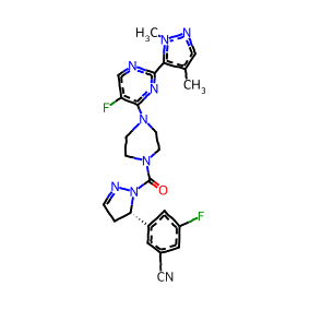 Cc1cnn(C)c1-c1ncc(F)c(N2CCN(C(=O)N3N=CC[C@H]3c3cc(F)cc(C#N)c3)CC2)n1